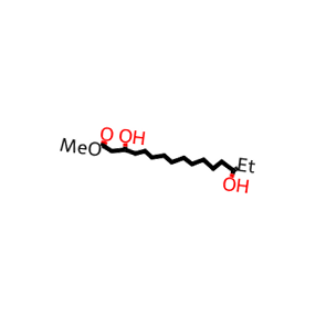 CCC(O)CCCCCCCCCCC(O)CC(=O)OC